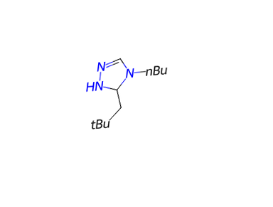 CCCCN1C=NNC1CC(C)(C)C